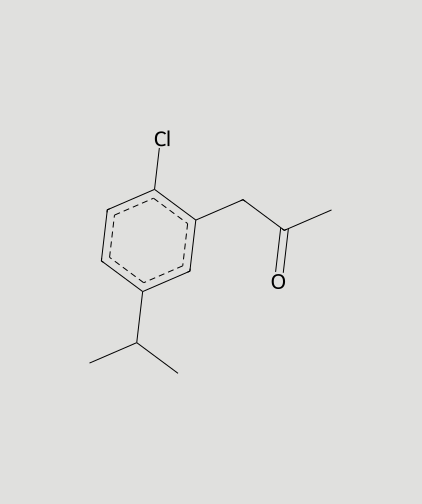 CC(=O)Cc1cc(C(C)C)ccc1Cl